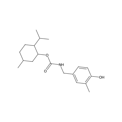 Cc1cc(CNC(=O)OC2CC(C)CCC2C(C)C)ccc1O